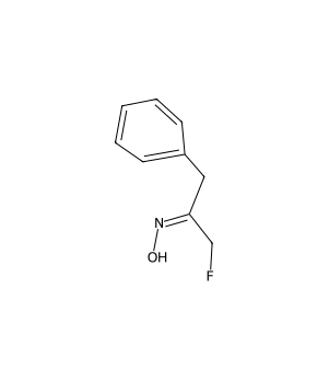 ON=C(CF)Cc1ccccc1